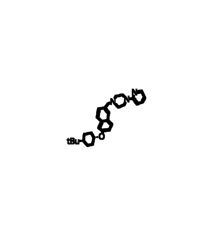 CC(C)(C)[C@H]1CC[C@H](Oc2ccc3cc(CN4CCN(c5ccccn5)CC4)ccc3c2)CC1